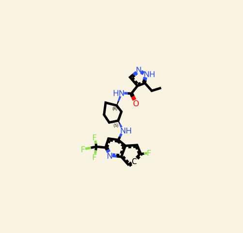 CCc1[nH]ncc1C(=O)N[C@@H]1CCC[C@H](Nc2cc(C(F)(F)F)nc3ccc(F)cc23)C1